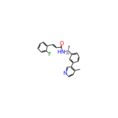 Cc1ccncc1-c1cccc([C@H](C)NC(=O)C=Cc2ccccc2F)c1